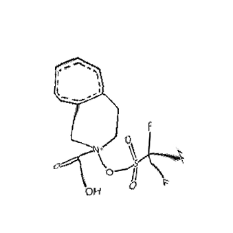 O=C(O)[N+]1(OS(=O)(=O)C(F)(F)F)CCc2ccccc2C1